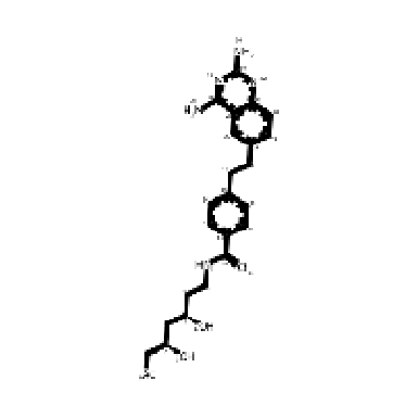 CC(=O)C[C@H](O)C[C@H](O)CCNC(=O)c1ccc(CCc2ccc3nc(N)nc(N)c3c2)cc1